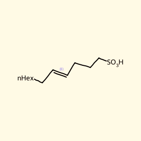 CCCCCCC/C=C/CCCS(=O)(=O)O